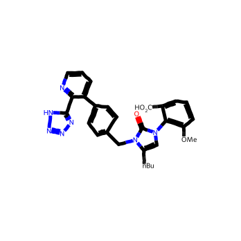 CCCCc1cn(-c2c(OC)cccc2C(=O)O)c(=O)n1Cc1ccc(-c2cccnc2-c2nnn[nH]2)cc1